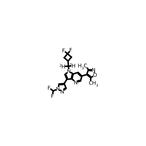 [2H]C([2H])(C1CC(F)(F)C1)n1cc(-c2cnn(C(F)F)c2)c2ncc(-c3c(C)noc3C)cc21